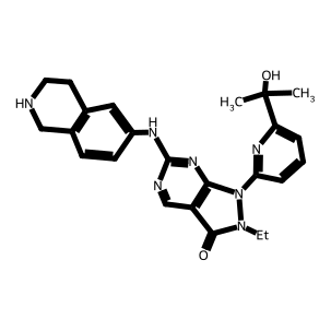 CCn1c(=O)c2cnc(Nc3ccc4c(c3)CCNC4)nc2n1-c1cccc(C(C)(C)O)n1